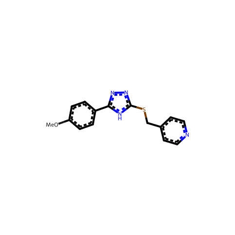 COc1ccc(-c2nnc(SCc3ccncc3)[nH]2)cc1